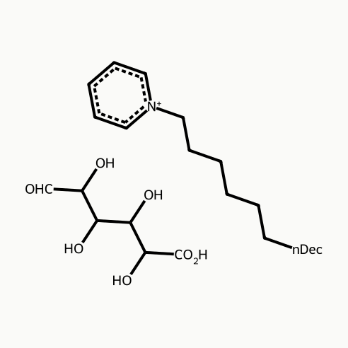 CCCCCCCCCCCCCCCC[n+]1ccccc1.O=CC(O)C(O)C(O)C(O)C(=O)O